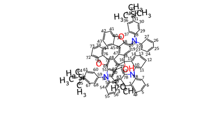 CC1(C)c2ccccc2N(c2ccccc2C2(O)c3cc(N(c4ccccc4)c4ccc([Si](C)(C)C)cc4)c4oc5ccccc5c4c3-c3c2cc(N(c2ccccc2)c2ccc([Si](C)(C)C)cc2)c2oc4ccccc4c32)c2ccccc21